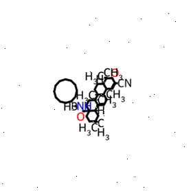 CC1(C)CCC2(C(=O)NBC3CCCCCCCCCCC3)CC[C@]3(C)C(=CCC4[C@@]5(C)C=C(C#N)C(=O)C(C)(C)[C@@H]5CC[C@]43C)[C@@H]2C1